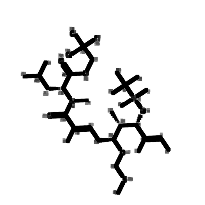 C/C=C(\C)[C@@H](O[Si](C)(C)C(C)(C)C)[C@@H](C)[C@H](C/C=C(\C)C(=O)N(C)[C@H](CC(C)C)C(=O)OCC(Cl)(Cl)Cl)OCSC